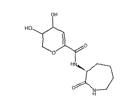 O=C(N[C@H]1CCCCNC1=O)C1=CC(O)C(O)CO1